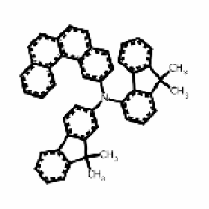 CC1(C)c2ccccc2-c2ccc(N(c3ccc4ccc5ccc6ccccc6c5c4c3)c3cccc4c3-c3ccccc3C4(C)C)cc21